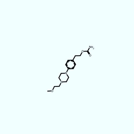 COCCN1CCN(c2ccc(CCOC(N)=O)cc2)CC1